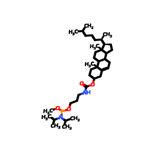 COP(OCCCNC(=O)OC1CC[C@@]2(C)C(=CCC3C2CC[C@@]2(C)C3CC[C@@H]2[C@H](C)CCCC(C)C)C1)N(C(C)C)C(C)C